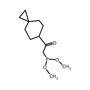 COP(CC(=O)C1CCC2(CC1)CC2)OC